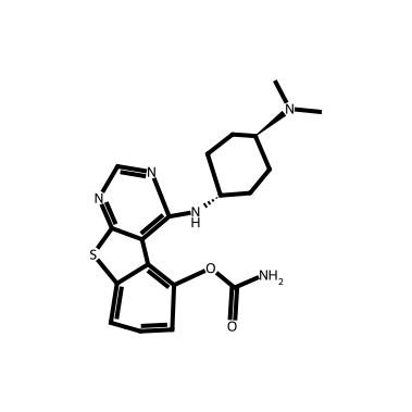 CN(C)[C@H]1CC[C@H](Nc2ncnc3sc4cccc(OC(N)=O)c4c23)CC1